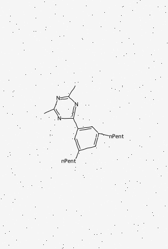 CCCCCc1cc(CCCCC)cc(-c2nc(C)nc(C)n2)c1